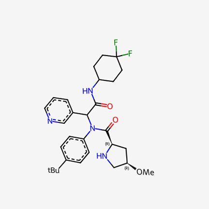 CO[C@H]1CN[C@@H](C(=O)N(c2ccc(C(C)(C)C)cc2)C(C(=O)NC2CCC(F)(F)CC2)c2cccnc2)C1